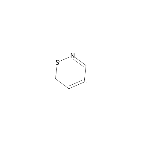 [C]1=CCSN=C1